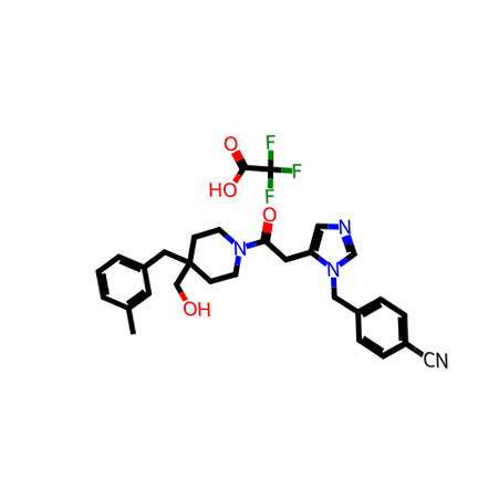 Cc1cccc(CC2(CO)CCN(C(=O)Cc3cncn3Cc3ccc(C#N)cc3)CC2)c1.O=C(O)C(F)(F)F